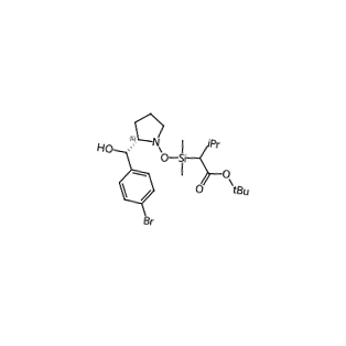 CC(C)C(C(=O)OC(C)(C)C)[Si](C)(C)ON1CCC[C@H]1C(O)c1ccc(Br)cc1